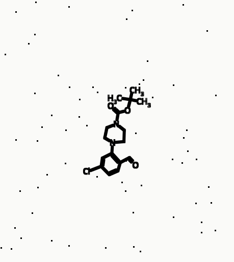 CC(C)(C)OC(=O)N1CCN(c2cc(Cl)ccc2C=O)CC1